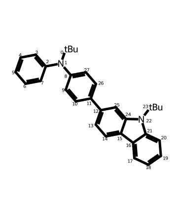 CC(C)(C)N(c1ccccc1)c1ccc(-c2ccc3c4ccccc4n(C(C)(C)C)c3c2)cc1